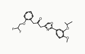 COc1ccc(-c2nc(CC(=O)Cc3ccccc3OCC(F)F)co2)cc1OC(C)C